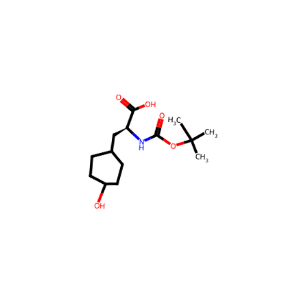 CC(C)(C)OC(=O)N[C@@H](CC1CCC(O)CC1)C(=O)O